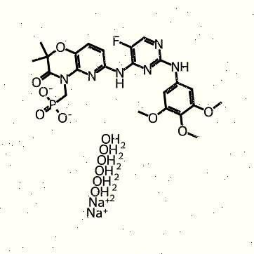 COc1cc(Nc2ncc(F)c(Nc3ccc4c(n3)N(CP(=O)([O-])[O-])C(=O)C(C)(C)O4)n2)cc(OC)c1OC.O.O.O.O.O.O.[Na+].[Na+]